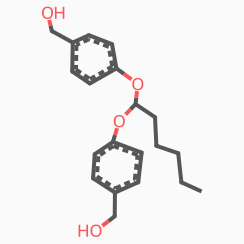 CCCCCC(Oc1ccc(CO)cc1)Oc1ccc(CO)cc1